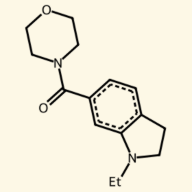 CCN1CCc2ccc(C(=O)N3CCOCC3)cc21